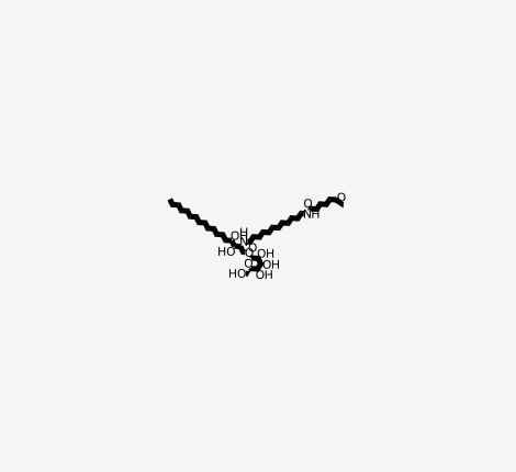 CCCCCCCCCCCCCCC(O)C(O)C(CO[C@H]1O[C@H](CO)[C@H](O)[C@H](O)[C@H]1O)NC(=O)CCCCCCCCCCCNC(=O)CCCCC1CO1